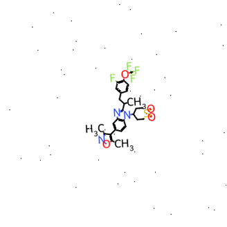 Cc1noc(C)c1-c1ccc2c(c1)nc(C(C)Cc1ccc(OC(F)(F)F)c(F)c1)n2C1CCS(=O)(=O)CC1